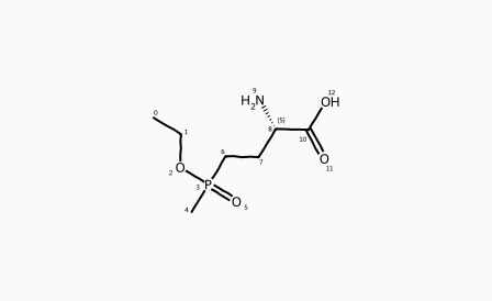 CCOP(C)(=O)CC[C@H](N)C(=O)O